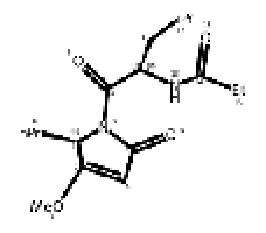 CCC[C@@H]1C(OC)=CC(=O)N1C(=O)[C@@H](CC(C)C)NC(=O)CC